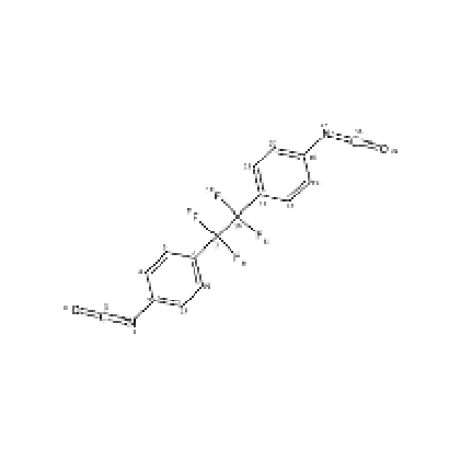 O=C=Nc1ccc(C(F)(F)C(F)(F)c2ccc(N=C=O)cc2)cc1